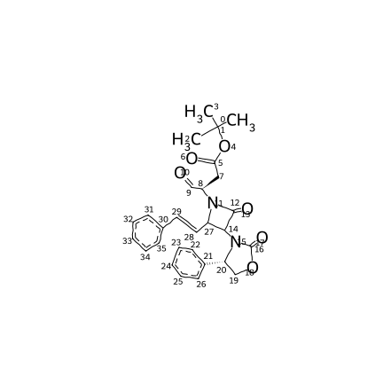 CC(C)(C)OC(=O)C[C@H](C=O)N1C(=O)C(N2C(=O)OC[C@@H]2c2ccccc2)C1/C=C/c1ccccc1